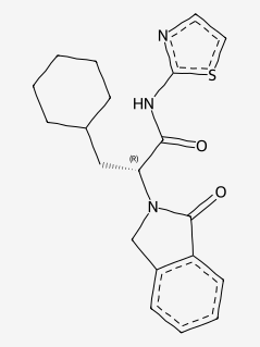 O=C(Nc1nccs1)[C@@H](CC1CCCCC1)N1Cc2ccccc2C1=O